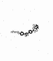 CCCCCOc1ccc(-c2cc(-c3ccc(C(=O)ON4C(=O)C(C)(C)C(C)(C)C4=O)cc3)no2)cc1